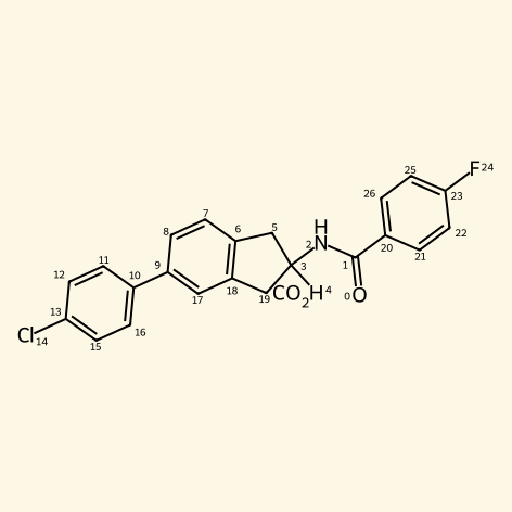 O=C(NC1(C(=O)O)Cc2ccc(-c3ccc(Cl)cc3)cc2C1)c1ccc(F)cc1